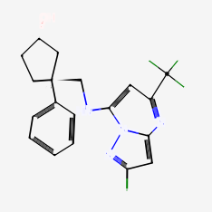 O[C@H]1CC[C@@](CNc2cc(C(F)(F)F)nc3cc(Br)nn23)(c2ccccc2)C1